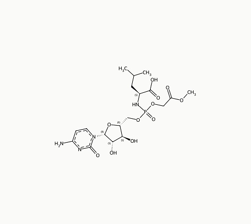 COC(=O)COP(=O)(N[C@@H](CC(C)C)C(=O)O)OC[C@H]1O[C@@H](n2ccc(N)nc2=O)[C@@H](O)[C@@H]1O